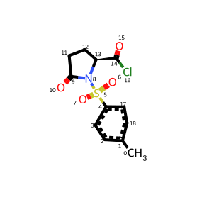 Cc1ccc(S(=O)(=O)N2C(=O)CC[C@H]2C(=O)Cl)cc1